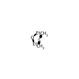 C=C=C.CCOCC